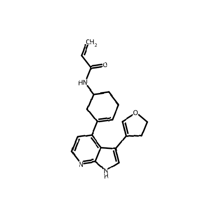 C=CC(=O)NC1CCC=C(c2ccnc3[nH]cc(C4=COCC4)c23)C1